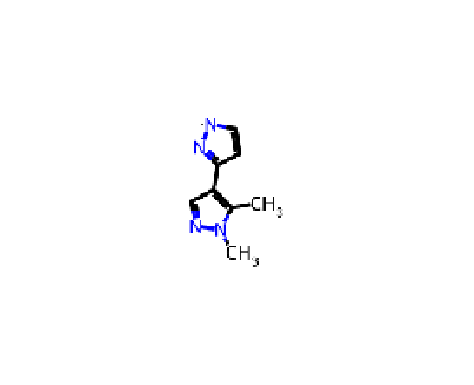 Cc1c(C2=N[N]C=C2)cnn1C